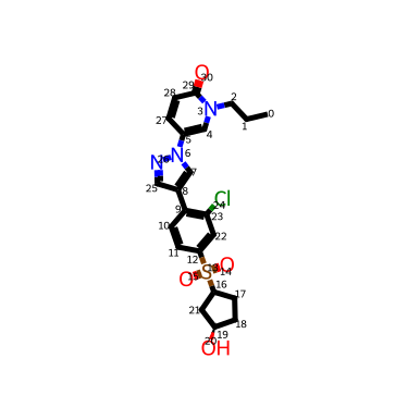 CCCn1cc(-n2cc(-c3ccc(S(=O)(=O)C4CC[C@@H](O)C4)cc3Cl)cn2)ccc1=O